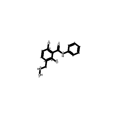 O=C(Nc1ccccc1)c1c(Cl)ccc(CNO)c1Cl